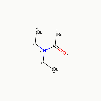 CC(C)(C)CN(CC(C)(C)C)C(=O)C(C)(C)C